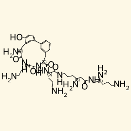 NCCC[C@H](N)CNC(=O)C[C@@H](N)CCCNC(=O)[C@H](CCCN)NC(=O)[C@@H]1Cc2cccc(c2)-c2ccc(O)c(c2)C[C@H](N)C(=O)N[C@@H](CCCN)C(=O)N1